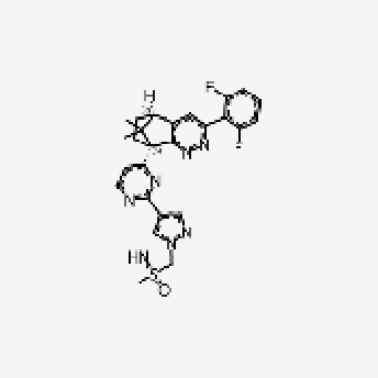 CC1(C)[C@H]2CC[C@]1(c1ccnc(-c3cnn(CS(C)(=N)=O)c3)n1)c1nnc(-c3c(F)cccc3F)cc12